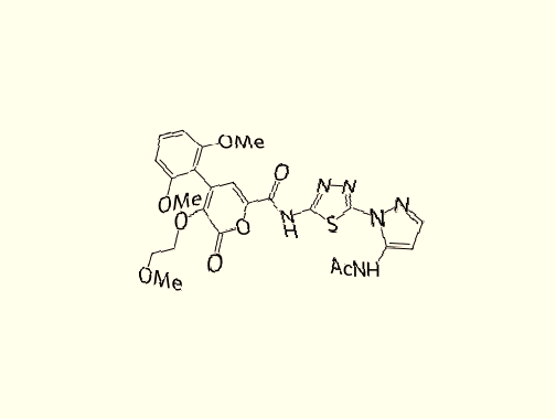 COCCOc1c(-c2c(OC)cccc2OC)cc(C(=O)Nc2nnc(-n3nccc3NC(C)=O)s2)oc1=O